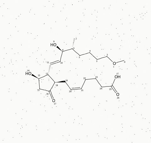 COCCCC[C@@H](C)[C@H](O)/C=C/[C@H]1[C@H](O)CC(=O)[C@@H]1C/C=C\CCCC(=O)O